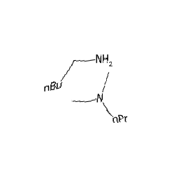 CCCCCN.CCCN(C)C